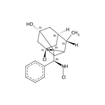 C[C@@H]1C2C[C@@]3(Cl)C[C@H]1C[C@](O)(C3)[C@H]2[C@@H](NCl)c1ccccc1